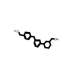 CCc1ccc(Cc2cccc(C3CCCC(CO)C3)c2)cc1